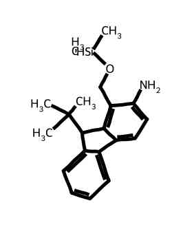 C[SiH](C)OCc1c(N)ccc2c1C(C(C)(C)C)c1ccccc1-2